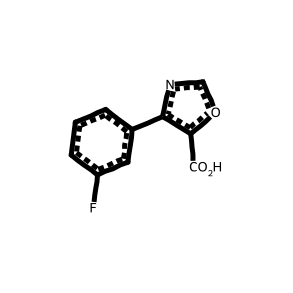 O=C(O)c1ocnc1-c1cccc(F)c1